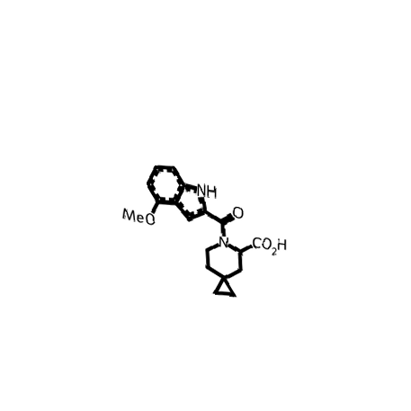 COc1cccc2[nH]c(C(=O)N3CCC4(CC4)CC3C(=O)O)cc12